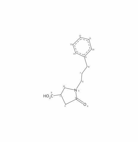 O=C(O)C1CC(=O)N(CCCc2ccccc2)C1